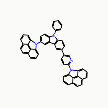 c1ccc(-n2c3ccc(-c4ccc(-n5c6cccc7ccc8cccc5c8c76)nc4)cc3c3cc(-n4c5cccc6ccc7cccc4c7c65)ccc32)cc1